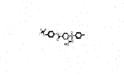 Cc1ccc(S(=O)(=O)N2CC[C@H](C(=O)Nc3ccc(OC(F)(F)F)cc3)C[C@H]2C(=O)O)cc1